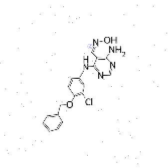 Nc1ncnc(Nc2ccc(OCc3ccccc3)c(Cl)c2)c1/C=N\O